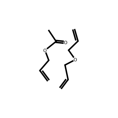 C=CCOC(C)=O.C=CCOCC=C